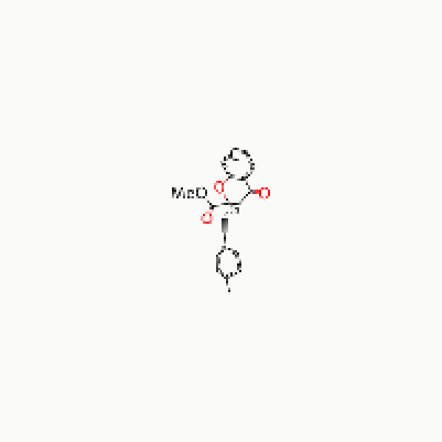 COC(=O)[C@]1(C#Cc2ccc(C)cc2)CC(=O)c2ccccc2O1